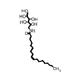 CCCCCCCC/C=C\CCCCCCCC(=O)NC[C@H](O)[C@@H](O)[C@H](O)[C@H](O)CO